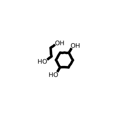 OC1CCC(O)CC1.OCCO